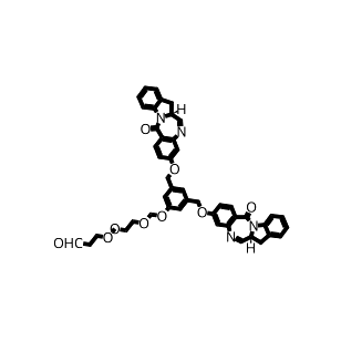 O=CCCOOCCOCOc1cc(COc2ccc3c(c2)N=C[C@@H]2Cc4ccccc4N2C3=O)cc(COc2ccc3c(c2)N=C[C@@H]2Cc4ccccc4N2C3=O)c1